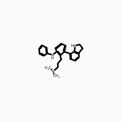 CN(C)CCCc1c(Nc2ccccc2)cccc1-c1cccc2c1NCC2